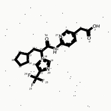 O=C(O)Cc1ccc(NC(=O)C(CC2CCCC2)n2cnc(C(F)(F)F)c2)nc1